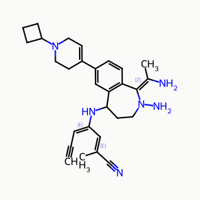 C#C/C=C(\C=C(/C)C#N)NC1CCN(N)/C(=C(/C)N)c2ccc(C3=CCN(C4CCC4)CC3)cc21